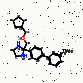 COc1cccc(-c2ccc(C3(COCC4CCCC4)NCCN3)cc2)c1